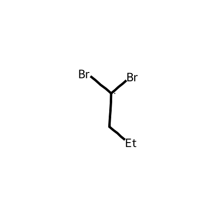 CCC[C](Br)Br